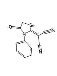 N#CC(C#N)=C1[Se]CC(=O)N1c1ccccc1